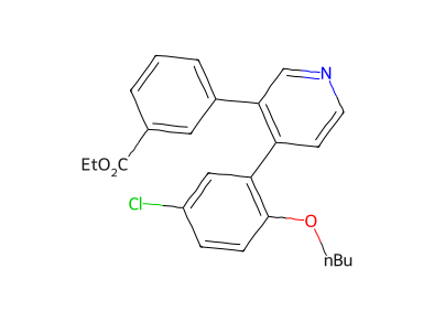 CCCCOc1ccc(Cl)cc1-c1ccncc1-c1cccc(C(=O)OCC)c1